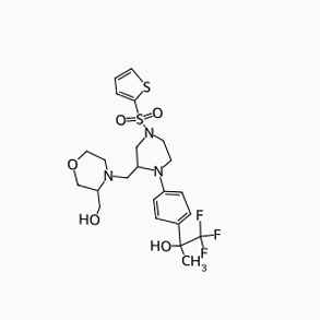 CC(O)(c1ccc(N2CCN(S(=O)(=O)c3cccs3)CC2CN2CCOCC2CO)cc1)C(F)(F)F